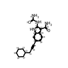 NC(=O)Nc1[nH]c2cc(C#CCC3CCCCC3)ccc2c1C(N)=O